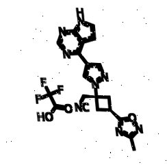 Cc1noc([C@H]2C[C@](CC#N)(n3cc(-c4ncnc5[nH]ccc45)cn3)C2)n1.O=C(O)C(F)(F)F